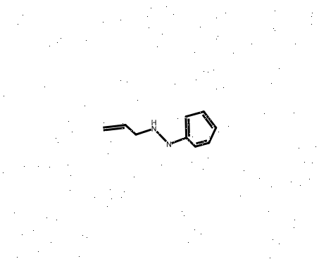 C=CCN[N]c1ccccc1